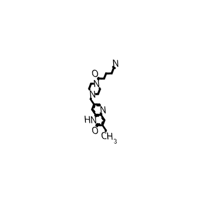 CCc1cc2ncc(CN3CCN(C(=O)CCCC#N)CC3)cc2[nH]c1=O